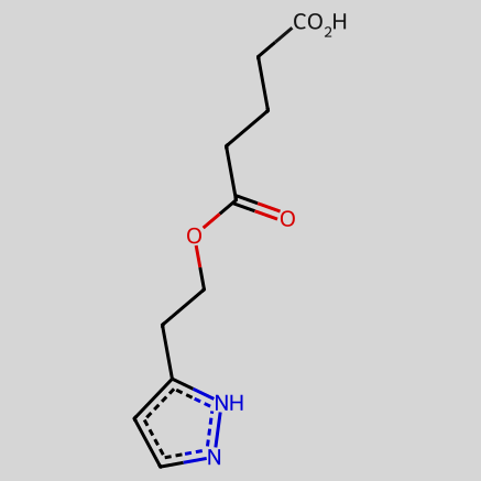 O=C(O)CCCC(=O)OCCc1ccn[nH]1